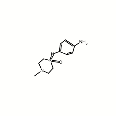 CN1CCS(=O)(=Nc2ccc(N)cc2)CC1